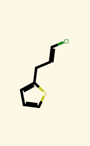 ClC=CCc1cccs1